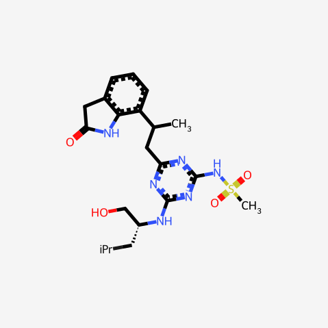 CC(C)C[C@H](CO)Nc1nc(CC(C)c2cccc3c2NC(=O)C3)nc(NS(C)(=O)=O)n1